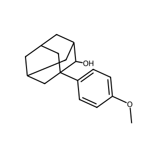 COc1ccc(C23CC4CC(CC(C4)C2O)C3)cc1